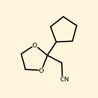 N#CCC1(C2CCCC2)OCCO1